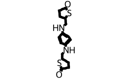 O=C1CCC(CNc2ccc(NCC3CCC(=O)S3)cc2)S1